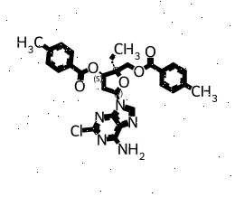 CC[C@]1(COC(=O)c2ccc(C)cc2)O[C@@H](n2cnc3c(N)nc(Cl)nc32)C[C@@H]1OC(=O)c1ccc(C)cc1